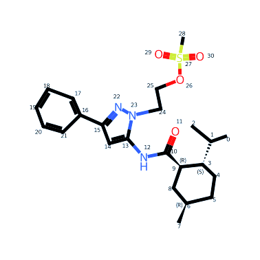 CC(C)[C@@H]1CC[C@@H](C)C[C@H]1C(=O)Nc1cc(-c2ccccc2)nn1CCOS(C)(=O)=O